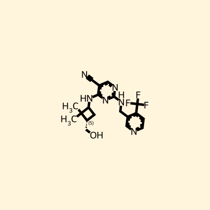 CC1(C)C(Nc2nc(NCc3cnccc3C(F)(F)F)ncc2C#N)C[C@@H]1CO